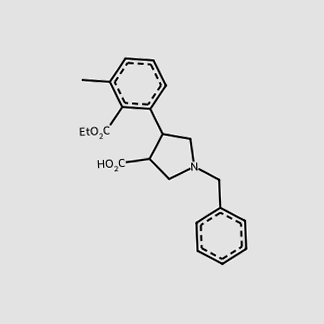 CCOC(=O)c1c(C)cccc1C1CN(Cc2ccccc2)CC1C(=O)O